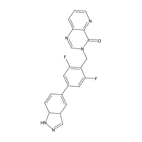 O=c1c2ncccc2ncn1Cc1c(F)cc(C2=CC3C=NNC3C=C2)cc1F